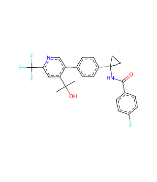 CC(C)(O)c1cc(C(F)(F)F)ncc1-c1ccc(C2(NC(=O)c3ccc(F)cc3)CC2)cc1